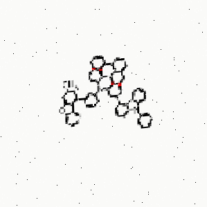 CC1C=c2oc3ccccc3c2=C(c2cccc(N(c3cccc(-c4cccc5c4c4ccccc4n5-c4ccccc4)c3)c3ccccc3-c3cccc4cccc(-c5ccccc5)c34)c2)C1